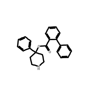 O=C(OC1(c2ccccc2)CCNCC1)c1ccccc1-c1ccccc1